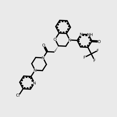 O=C(C[C@H]1CN(c2cc(C(F)(F)F)c(=O)[nH]n2)c2ccccc2O1)N1CCN(c2ccc(Cl)cn2)CC1